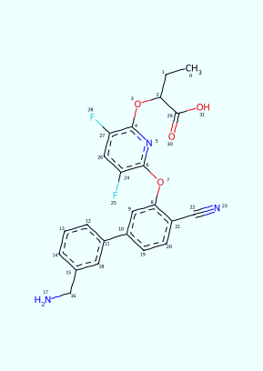 CCC(Oc1nc(Oc2cc(-c3cccc(CN)c3)ccc2C#N)c(F)cc1F)C(=O)O